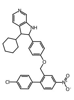 O=[N+]([O-])c1ccc(-c2ccc(Cl)cc2)c(COc2ccc(C3Nc4cnccc4C3C3CCCCC3)cc2)c1